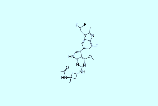 COc1nc(N[C@H]2C[C@@](C)(NC(C)=O)C2)nc2[nH]cc(-c3cc(F)c4nc(C)n(CC(F)F)c4c3)c12